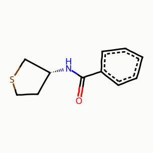 O=C(N[C@@H]1CCSC1)c1ccccc1